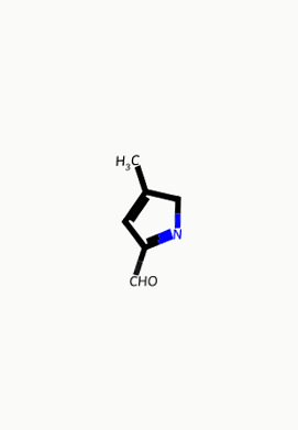 CC1=CC(C=O)=NC1